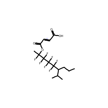 CCCC(C(C)C)C(F)(F)C(F)(F)C(F)(F)C(C)(F)OC(=O)/C=C/C(=O)O